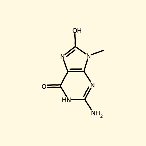 Cn1c(O)nc2c(=O)[nH]c(N)nc21